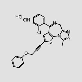 Cc1nnc2n1-c1sc(C#CCOc3ccccc3)cc1C(c1ccccc1Cl)=NC2.Cl.Cl